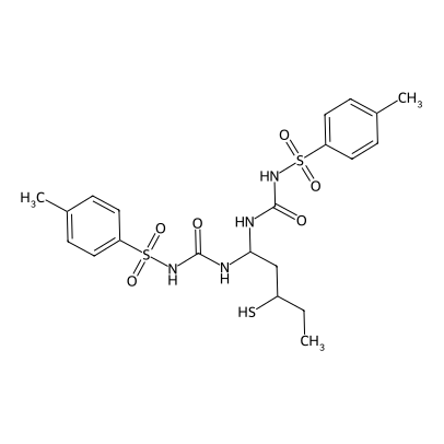 CCC(S)CC(NC(=O)NS(=O)(=O)c1ccc(C)cc1)NC(=O)NS(=O)(=O)c1ccc(C)cc1